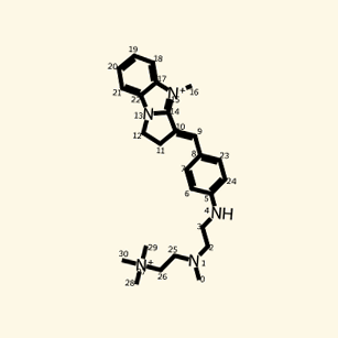 CN(CCNc1ccc(C=C2CCn3c2[n+](C)c2ccccc23)cc1)CC[N+](C)(C)C